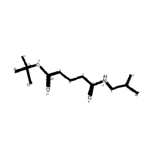 CC(C)CNC(=O)CCCC(=O)OC(C)(C)C